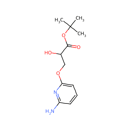 CC(C)(C)OC(=O)C(O)COc1cccc(N)n1